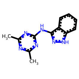 Cc1nc(C)nc(Nc2n[nH]c3ccccc23)n1